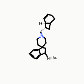 CC(=O)NC1CC2(CCN(C[C@H]3CC4CCC=C[C@@H]43)CC2)c2ccccc21